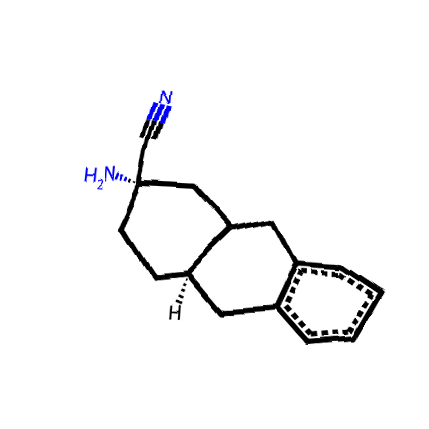 N#C[C@]1(N)CC[C@@H]2Cc3ccccc3CC2C1